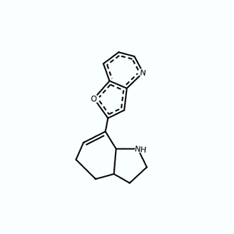 C1=C(c2cc3ncccc3o2)C2NCCC2CC1